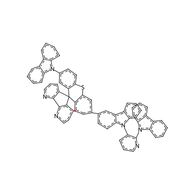 c1cnc(-n2c3ccccc3c3ccccc32)c(-n2c3ccccc3c3cc(-c4ccc5c(c4)Sc4ccc(-n6c7ccccc7c7ccccc76)cc4C54c5cccnc5-c5ncccc54)ccc32)c1